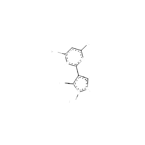 Cc1cc(N)nc(-c2cnn(C)c2O)n1